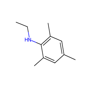 CCNc1c(C)cc(C)cc1C